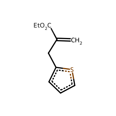 C=C(Cc1cccs1)C(=O)OCC